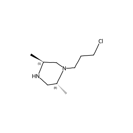 C[C@@H]1CN[C@@H](C)CN1CCCCl